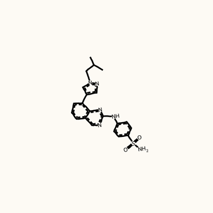 CC(C)Cn1cc(-c2cccc3cnc(Nc4ccc(S(N)(=O)=O)cc4)nc23)cn1